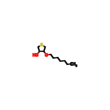 CCCCCCCOC1CSCC1O